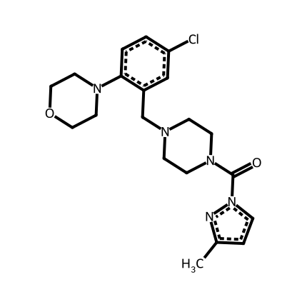 Cc1ccn(C(=O)N2CCN(Cc3cc(Cl)ccc3N3CCOCC3)CC2)n1